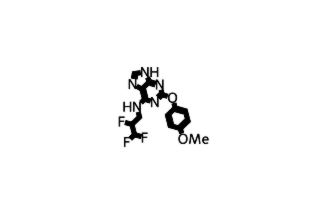 COc1ccc(Oc2nc(NCC(F)C(F)F)c3nc[nH]c3n2)cc1